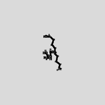 CCCCCCCCCCCCCCCCCC(C)C.NO.O=[N+]([O-])O